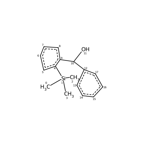 C[Si](C)(C)c1ccccc1C(O)c1ccccc1